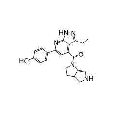 CCc1n[nH]c2nc(-c3ccc(O)cc3)cc(C(=O)N3CCC4CNC=C43)c12